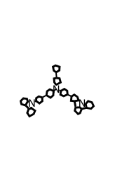 c1ccc(-c2ccc(N(c3ccc(-c4ccc(-n5c6ccccc6c6ccccc65)cc4)cc3)c3ccc(-c4ccc5c(c4)c4cccc6c7ccccc7n5c64)cc3)cc2)cc1